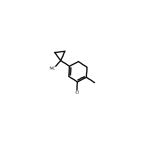 CC1=C(Cl)C=C(C2(C#N)CC2)CC1